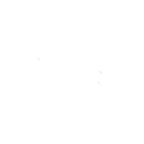 c1ccc(-c2nc(-c3ccc(-c4ccc(-c5cccc6c5ccc5cccnc56)cc4)cc3)nc3ccccc23)cc1